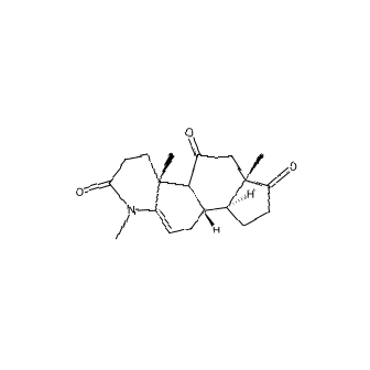 CN1C(=O)CC[C@@]2(C)C1=CC[C@@H]1C2C(=O)C[C@]2(C)C(=O)CC[C@@H]12